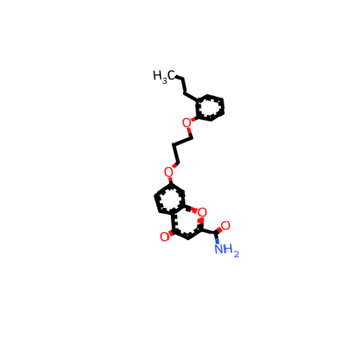 CCCc1ccccc1OCCCOc1ccc2c(=O)cc(C(N)=O)oc2c1